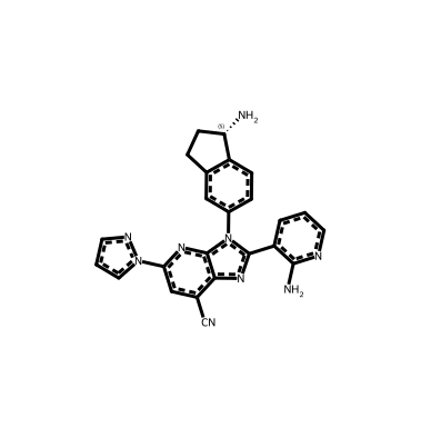 N#Cc1cc(-n2cccn2)nc2c1nc(-c1cccnc1N)n2-c1ccc2c(c1)CC[C@@H]2N